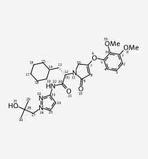 COc1cccc(OC2=CC(=O)N([C@@H](CC3CCCCC3)C(=O)Nc3ccn(CC(C)(C)O)n3)C2)c1OC